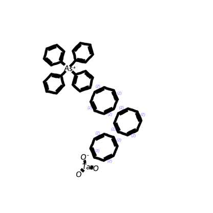 C1=C\C=C/C=C\C=C/1.C1=C\C=C/C=C\C=C/1.C1=C\C=C/C=C\C=C/1.[O]=[Ta](=[O])[O-].c1ccc([As+](c2ccccc2)(c2ccccc2)c2ccccc2)cc1